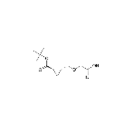 C[C@H]1[C@@H](COCC(=O)O)[C@@H]1C(=O)OC(C)(C)C